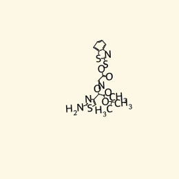 CC(C)(C)OC(=O)C(ON=CC(=O)OSc1nc2ccccc2s1)c1csc(N)n1